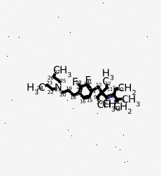 C=C/C(C(=C)C)=C(/C)C(CC)(CC)Cc1ccc(CCCN(CCC)CCC)c(F)c1F